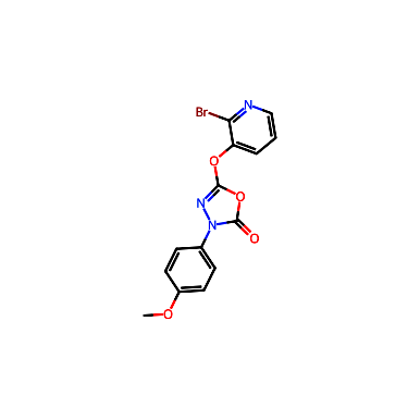 COc1ccc(-n2nc(Oc3cccnc3Br)oc2=O)cc1